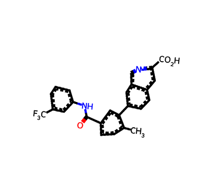 Cc1ccc(C(=O)Nc2cccc(C(F)(F)F)c2)cc1-c1ccc2cc(C(=O)O)ncc2c1